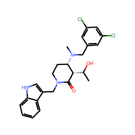 CC(O)[C@@H]1C(=O)N(Cc2c[nH]c3ccccc23)CC[C@@H]1N(C)Cc1cc(Cl)cc(Cl)c1